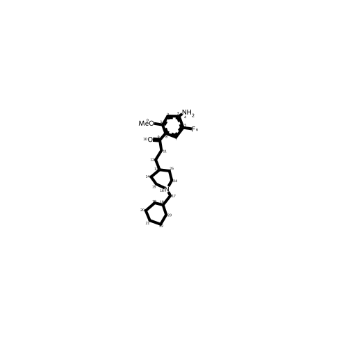 COc1cc(N)c(F)cc1C(=O)CCC1CCN(CC2CCCCC2)CC1